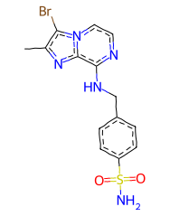 Cc1nc2c(NCc3ccc(S(N)(=O)=O)cc3)nccn2c1Br